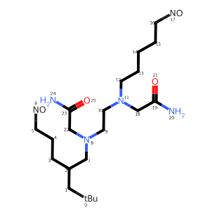 CC(C)(C)CC(CCCN=O)CN(CCN(CCCCCN=O)CC(N)=O)CC(N)=O